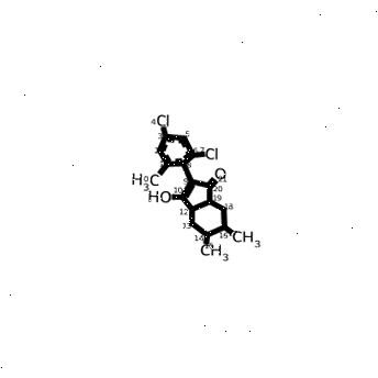 Cc1cc(Cl)cc(Cl)c1C1=C(O)C2CC(C)C(C)CC2C1=O